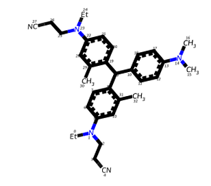 CCN(CCC#N)c1ccc(C(c2ccc(N(C)C)cc2)c2ccc(N(CC)CCC#N)cc2C)c(C)c1